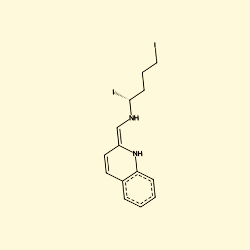 ICCC[C@@H](I)N/C=C1/C=Cc2ccccc2N1